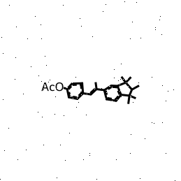 CC(=O)Oc1ccc(C=C(C)c2ccc3c(c2)C(C)(C)C(C)C3(C)C)cc1